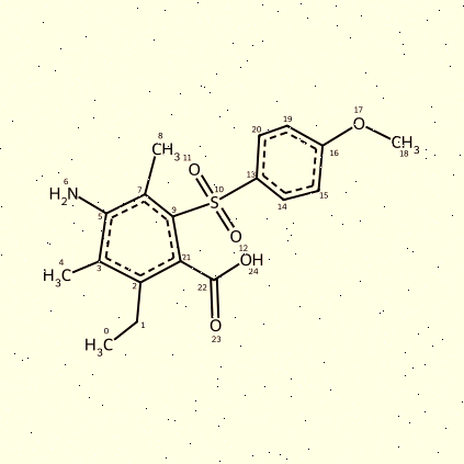 CCc1c(C)c(N)c(C)c(S(=O)(=O)c2ccc(OC)cc2)c1C(=O)O